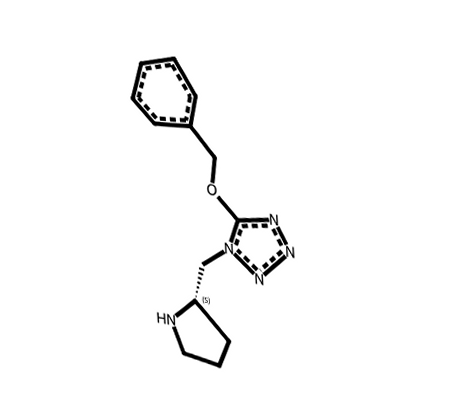 c1ccc(COc2nnnn2C[C@@H]2CCCN2)cc1